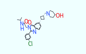 CC(C)NC(=O)Cn1c(-c2cccc(Cl)c2)nc2ccc([C@H]3C[C@@H](CN4CCC(O)CC4)C3)cc2c1=O